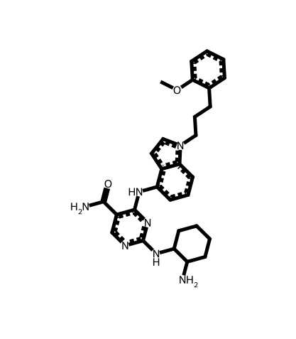 COc1ccccc1CCCn1ccc2c(Nc3nc(NC4CCCCC4N)ncc3C(N)=O)cccc21